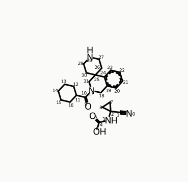 N#CC1(NC(=O)O)CC1.O=C(C1CCCCC1)N1Cc2ccccc2C2(CCNCC2)C1